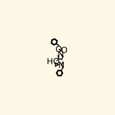 O=C(OCc1ccccc1)N1C[C@H](CN(Cc2ccccc2)C2CC2)[C@@H](O)C1